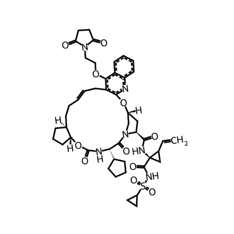 C=CC1C[C@]1(NC(=O)[C@@H]1C[C@@H]2CN1C(=O)[C@H](C1CCCC1)NC(=O)O[C@@H]1CCC[C@H]1CC/C=C/Cc1c(nc3ccccc3c1OCCN1C(=O)CCC1=O)O2)C(=O)NS(=O)(=O)C1CC1